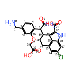 NCc1ccc(C(C(N)=O)C2CCc3cc(Cl)cc4[nH]c(C(=O)O)c2c34)c(OCC(=O)O)c1